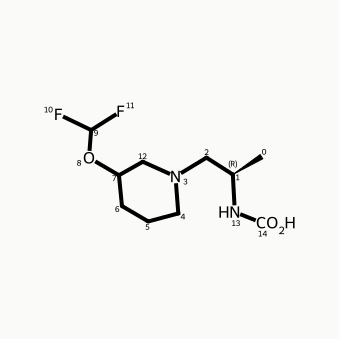 C[C@H](CN1CCCC(OC(F)F)C1)NC(=O)O